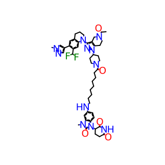 CC(=O)N1CCc2c(c(N3CCCc4cc(-c5cnn(C)c5)c(C(F)F)cc43)nn2C2CCN(C(=O)CCCCCCCCNc3ccc4c(c3)n(C)c(=O)n4C3CCC(=O)NC3=O)CC2)C1